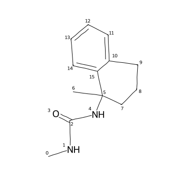 CNC(=O)NC1(C)CCCc2ccccc21